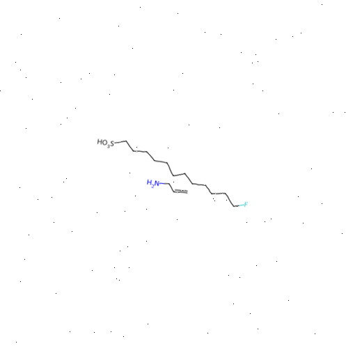 C=CCN.O=S(=O)(O)CCCCCCCCCCCCF